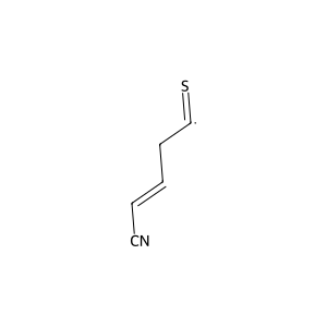 N#CC=CC[C]=S